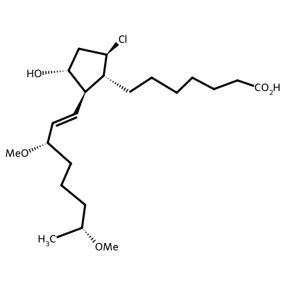 CO[C@H](C)CCC[C@@H](/C=C/[C@@H]1[C@@H](CCCCCCC(=O)O)[C@H](Cl)C[C@H]1O)OC